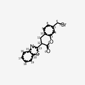 O=C1Oc2cc(CBr)ccc2CC1c1nc2ccccc2s1